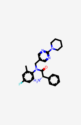 Cc1cc(F)ccc1N(Cc1cnc(N2CCCCC2)nc1)C(=O)[C@@H](N)c1ccccc1